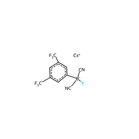 N#C[B-](F)(C#N)c1cc(C(F)(F)F)cc(C(F)(F)F)c1.[Cs+]